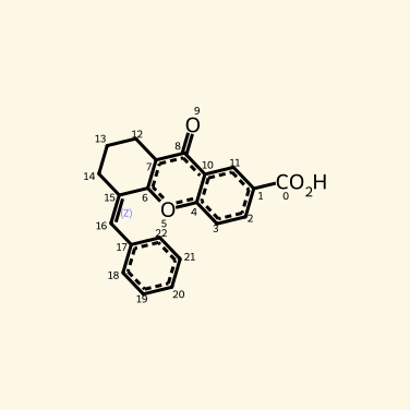 O=C(O)c1ccc2oc3c(c(=O)c2c1)CCC/C3=C/c1ccccc1